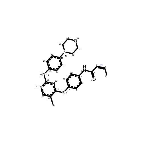 C/C=C\C(=O)Nc1ccc(Sc2nc(Nc3ccc(N4CCOCC4)cc3)ncc2C)cc1